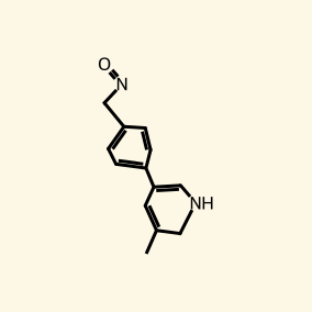 CC1=CC(c2ccc(CN=O)cc2)=CNC1